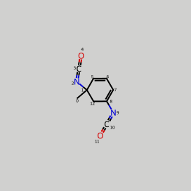 CC1(N=C=O)C=CC=C(N=C=O)C1